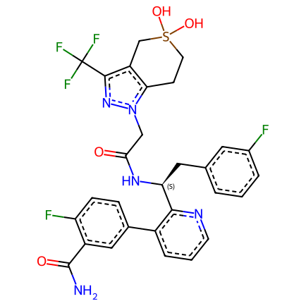 NC(=O)c1cc(-c2cccnc2[C@H](Cc2cccc(F)c2)NC(=O)Cn2nc(C(F)(F)F)c3c2CCS(O)(O)C3)ccc1F